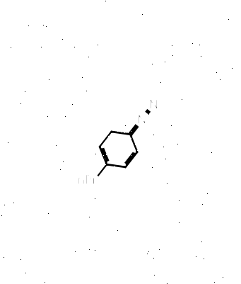 C[CH]CC1=CCC(=[N+]=[N-])C=C1